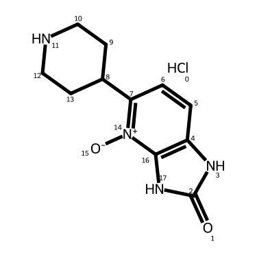 Cl.O=c1[nH]c2ccc(C3CCNCC3)[n+]([O-])c2[nH]1